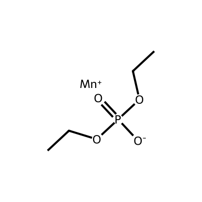 CCOP(=O)([O-])OCC.[Mn+]